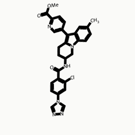 COC(=O)c1ccc(-c2c3n(c4ccc(C)cc24)CC(NC(=O)c2ccc(-n4cnnc4)cc2Cl)CC3)cn1